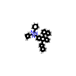 C1=CCC=CC(c2nc(-c3ccccc3)nc(-c3ccc4c(-c5ccc6ccccc6c5)c5ccccc5c(-c5cccc6ccccc56)c4c3)n2)=C1